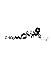 O=COCCCCN1CCN(C(=O)CNC(=O)c2cc(OCC(=O)O)c3ccccc3n2)CC1